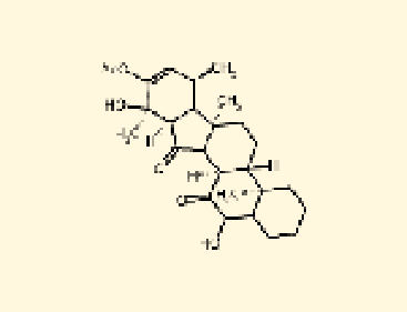 CC(=O)OC1=C[C@@H](C)C2[C@@H](C(=O)C3[C@@H]4C(=O)[C@H](O)C5CCCC[C@]5(C)[C@H]4CC[C@]23C)[C@@]1(C)O